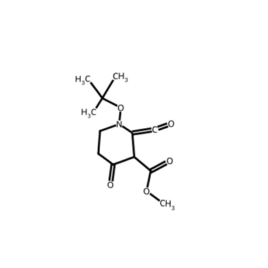 COC(=O)C1C(=O)CCN(OC(C)(C)C)C1=C=O